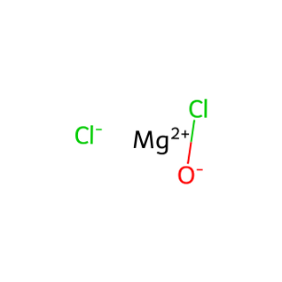 [Cl-].[Mg+2].[O-]Cl